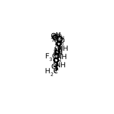 C=CC(=O)Nc1cccc(Nc2nc(Nc3ccc4c(c3)OCC[C@@H]3COCCN43)ncc2C(F)(F)F)c1